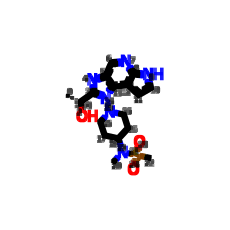 C[C@@H](O)c1nc2cnc3[nH]ccc3c2n1N1CCC(N(C)S(C)(=O)=O)CC1